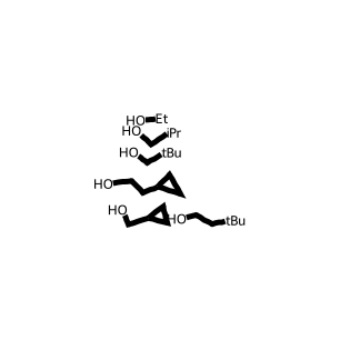 CC(C)(C)CCO.CC(C)(C)CO.CC(C)CO.CCO.OCC1CC1.OCCC1CC1